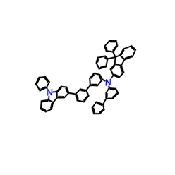 c1ccc(-c2cccc(N(c3cccc(-c4cccc(-c5ccc6c(c5)c5ccccc5n6-c5ccccc5)c4)c3)c3ccc4c(c3)C(c3ccccc3)(c3ccccc3)c3ccccc3-4)c2)cc1